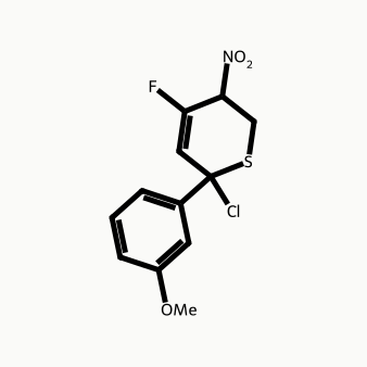 COc1cccc(C2(Cl)C=C(F)C([N+](=O)[O-])CS2)c1